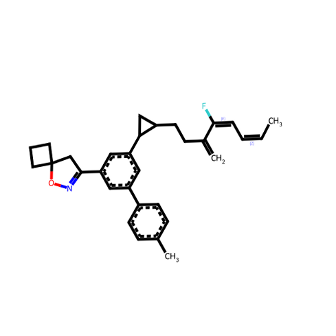 C=C(CCC1CC1c1cc(C2=NOC3(CCC3)C2)cc(-c2ccc(C)cc2)c1)/C(F)=C\C=C/C